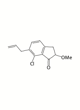 C=CCc1ccc2c(c1Cl)C(=O)C(OC)C2